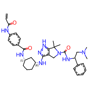 C=CC(=O)Nc1ccc(C(=O)N[C@H]2CCC[C@@H](Nc3n[nH]c4c3CN(C(=O)NC(CN(C)C)c3ccccc3)C4(C)C)C2)cc1